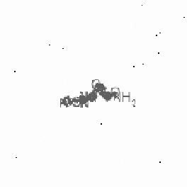 CN1CCC(COc2cnc(-c3cccc(Cn4nc(-c5cccc(C(N)=O)c5)ccc4=O)c3)nc2)CC1